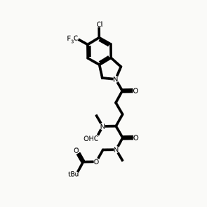 CN(COC(=O)C(C)(C)C)C(=O)C(CCC(=O)N1Cc2cc(Cl)c(C(F)(F)F)cc2C1)N(C)C=O